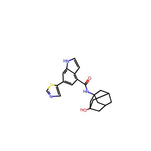 O=C(NC12CC3CC(CC(O)(C3)C1)C2)c1cc(-c2cncs2)cc2[nH]ccc12